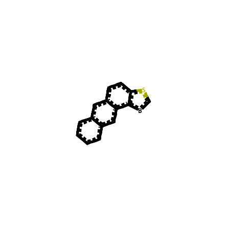 b1csc2ccc3cc4ccccc4cc3c12